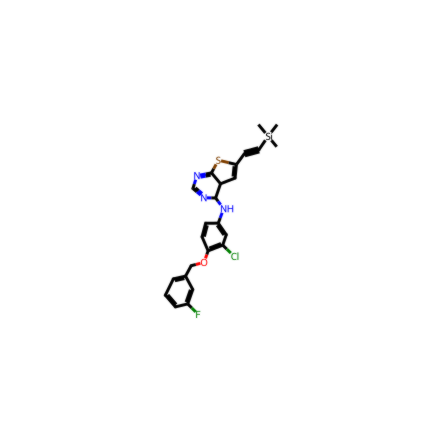 C[Si](C)(C)C#CC1=CC2C(=NC=NC2Nc2ccc(OCc3cccc(F)c3)c(Cl)c2)S1